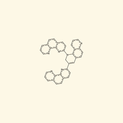 C1=C(c2ccc3ccc4cccnc4c3n2)CN(c2ccc3ccc4cccnc4c3n2)c2c1ccc1ncccc21